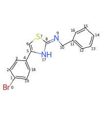 Brc1ccc(-c2csc(=NCc3ccccc3)[nH]2)cc1